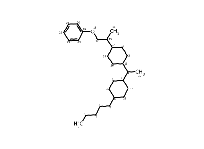 CCCCCC1CCC(C(C)C2CCC(C(C)COc3ccccc3)CC2)CC1